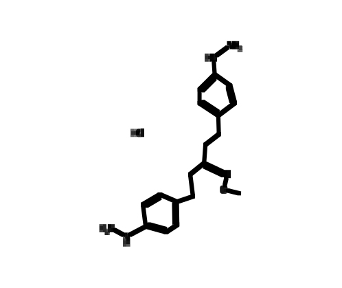 CON=C(CCc1ccc(NN)cc1)CCc1ccc(NN)cc1.Cl